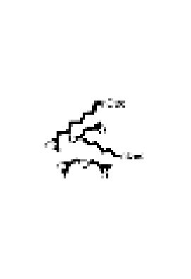 C(OCC1CO1)C1CO1.CCCCCCCCCCCCCCCC(CC1CO1)OC(CCCCCCCCCCCCCCC)CC1CO1